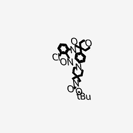 CC(C)(C)OC(=O)N1CC2(CCN(c3ccc4c(c3)N(c3cccc(Cl)c3CN=O)C(=O)C43CCOCC3)CC2)C1